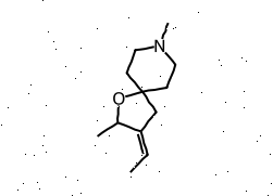 CC=C1CC2(CCN(C)CC2)OC1C